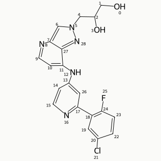 OCC(O)Cn1cc2nccc(Nc3ccnc(-c4cc(Cl)ccc4F)c3)c2n1